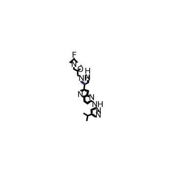 COC(CN/C=C(\C=N)c1cnc2ccc(Nc3cc(C(C)C)cnn3)nc2c1)CN1CC(F)C1